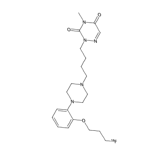 Cn1c(=O)cnn(CCCCN2CCN(c3ccccc3OCCC[18F])CC2)c1=O